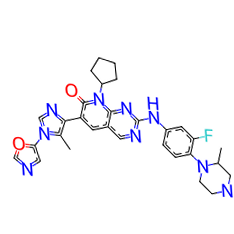 Cc1c(-c2cc3cnc(Nc4ccc(N5CCNCC5C)c(F)c4)nc3n(C3CCCC3)c2=O)ncn1-c1cnco1